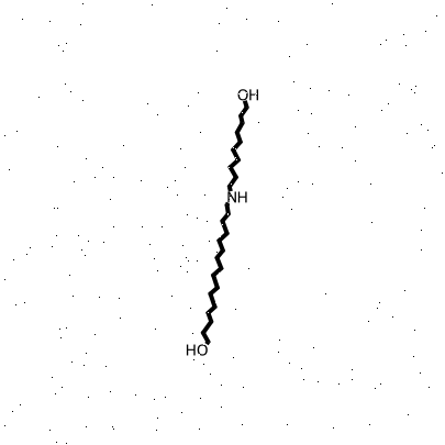 OCCCCCCCCCCCCCCCCNCCCCCCCCCCO